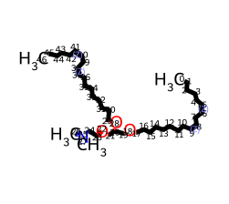 CCCCC/C=C\C/C=C\CCCCCCCCOCC(COCCN(C)C)OCCCCCCCC/C=C\C/C=C\CCCCC